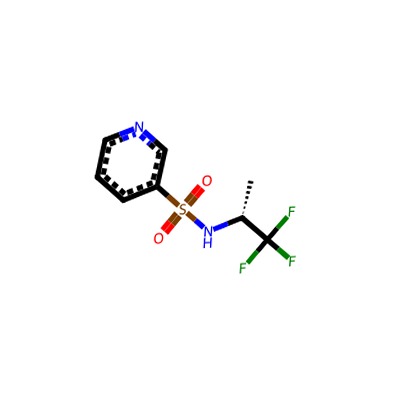 C[C@@H](NS(=O)(=O)c1cccnc1)C(F)(F)F